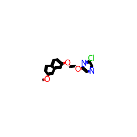 COc1ccc2ccc(OCCOc3cncc(Cl)n3)cc2c1